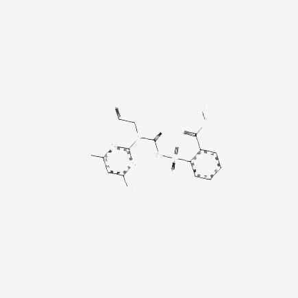 C=CCN(C(=O)NS(=O)(=O)c1ccccc1C(=O)OC)c1nc(C)cc(C)n1